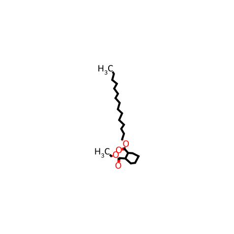 CCCCCCCCCCCCCCCOC(=O)C1CCCCC1C(=O)OCC